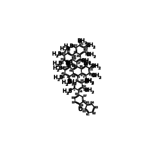 Bc1c(B)c(-c2c3c(B)c(B)c(B)c(B)c3c(-c3c(B)c4c(B)c(B)c(B)c(B)c4c4c(B)c(B)c(B)c(B)c34)c3c(B)c(B)c(B)c(B)c23)c(B)c(B)c1-c1ccc2oc3ccccc3c2c1